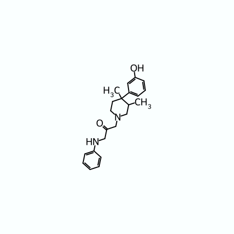 CC1CN(CC(=O)CNc2ccccc2)CCC1(C)c1cccc(O)c1